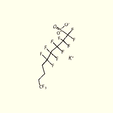 O=S(=O)([O-])C(F)(F)C(F)(F)C(F)(F)C(F)(F)C(F)(F)CCCC(F)(F)F.[K+]